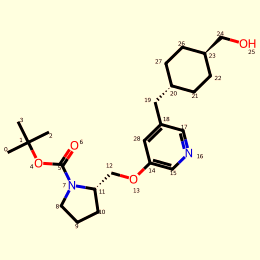 CC(C)(C)OC(=O)N1CCC[C@H]1COc1cncc(C[C@H]2CC[C@H](CO)CC2)c1